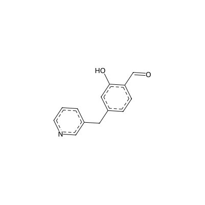 O=Cc1ccc(Cc2cccnc2)cc1O